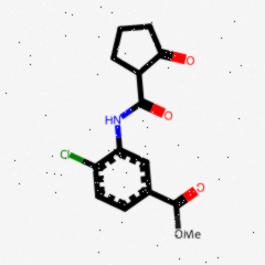 COC(=O)c1ccc(Cl)c(NC(=O)C2CCCC2=O)c1